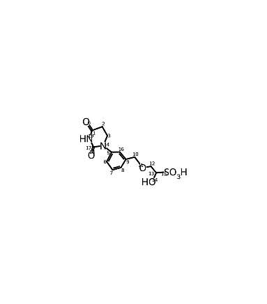 O=C1CCN(c2cccc(COCC(O)S(=O)(=O)O)c2)C(=O)N1